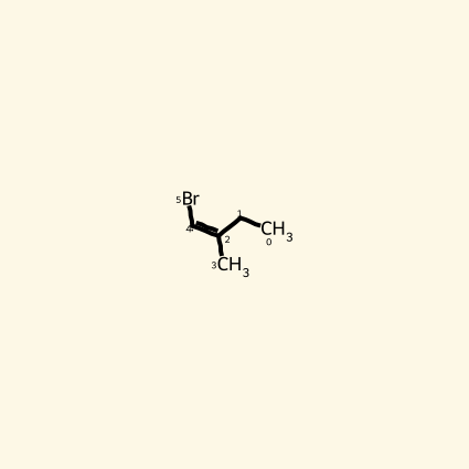 CC/C(C)=[C]\Br